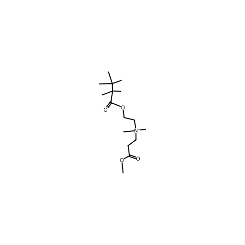 COC(=O)CC[N+](C)(C)CCOC(=O)C(C)(C)C(C)(C)C